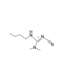 CCCCN/C(=N/C#N)N(C)C